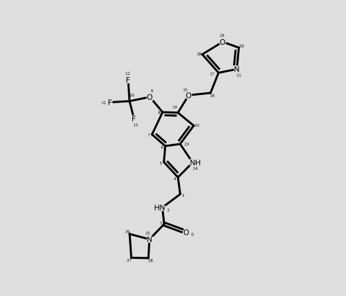 O=C(NCc1cc2cc(OC(F)(F)F)c(OCc3cocn3)cc2[nH]1)N1CCC1